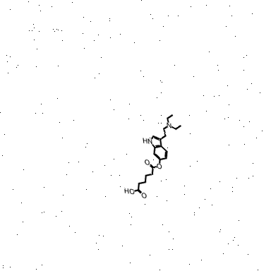 CCN(CC)CCc1c[nH]c2cc(OC(=O)CCCCC(=O)O)ccc12